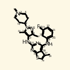 Cc1nn(C2CCN(C)CC2)c(C)c1Nc1nc(Nc2cccc(F)c2)c2c(C)csc2n1